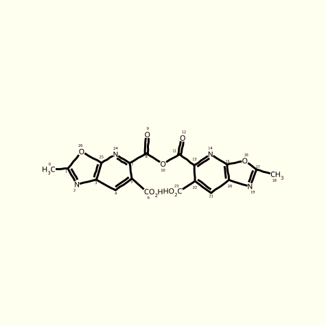 Cc1nc2cc(C(=O)O)c(C(=O)OC(=O)c3nc4oc(C)nc4cc3C(=O)O)nc2o1